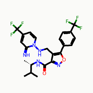 CC(C)[C@H](C)NC(=O)c1noc(-c2ccc(C(F)(F)F)cc2)c1CNn1ccc(C(F)(F)F)cc1=N